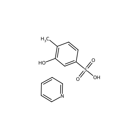 Cc1ccc(S(=O)(=O)O)cc1O.c1ccncc1